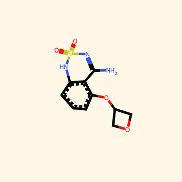 NC1=NS(=O)(=O)Nc2cccc(OC3COC3)c21